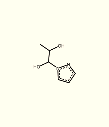 CC(O)C(O)n1cccn1